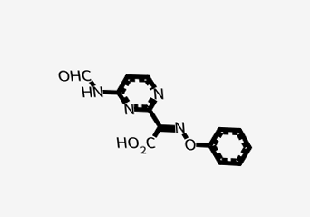 O=CNc1ccnc(C(=NOc2ccccc2)C(=O)O)n1